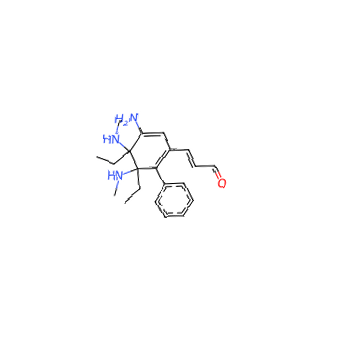 CCC1(NC)C(N)=CC(C=CC=O)=C(c2ccccc2)C1(CC)NC